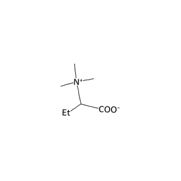 CCC(C(=O)[O-])[N+](C)(C)C